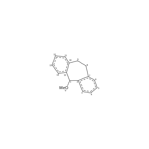 [CH2]OC1c2ccccc2CCc2ccccc21